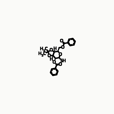 CC1(C)O[C@@H]2[C@@H](OC(=O)c3ccccc3)[C@H](S)O[C@H](COC(=O)c3ccccc3)[C@@H]2O1